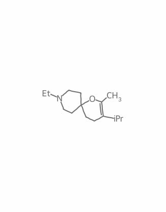 CCN1CCC2(CCC(C(C)C)=C(C)O2)CC1